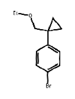 CCOCC1(c2ccc(Br)cc2)CC1